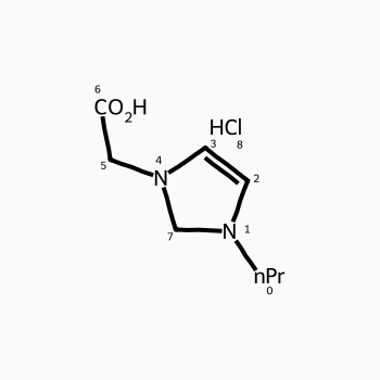 CCCN1C=CN(CC(=O)O)C1.Cl